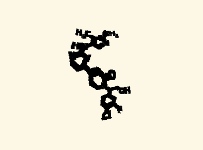 Cc1c(Nc2nccc(-c3ccn(C(CO)c4ccc(Cl)c(F)c4)c(=O)c3)n2)cnn1C